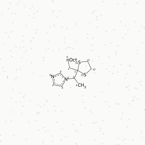 CCCCCCCCCC1(C(C)n2ccnc2)SCCS1